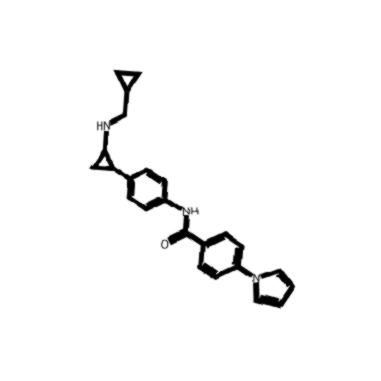 O=C(Nc1ccc(C2CC2NCC2CC2)cc1)c1ccc(-n2cccc2)cc1